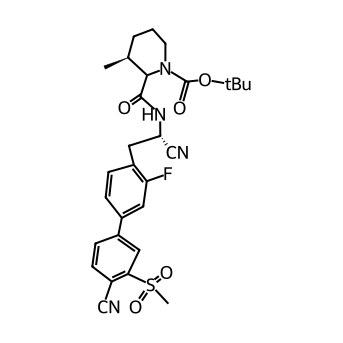 C[C@H]1CCCN(C(=O)OC(C)(C)C)C1C(=O)N[C@H](C#N)Cc1ccc(-c2ccc(C#N)c(S(C)(=O)=O)c2)cc1F